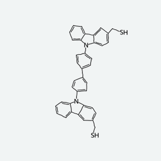 SCc1ccc2c(c1)c1ccccc1n2-c1ccc(-c2ccc(-n3c4ccccc4c4cc(CS)ccc43)cc2)cc1